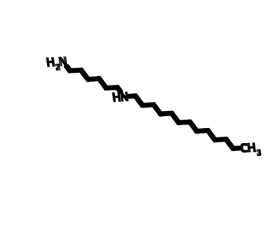 CCCCCCCCCCCCCNCCCCCCN